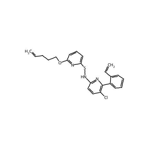 C=CCCCOc1cccc(SNc2ccc(Cl)c(-c3ccccc3C=C)n2)n1